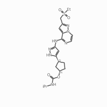 CCS(=O)(=O)Cc1cc2c(Nc3cc([C@H]4CC[C@@H](OC(=O)NC(C)C)C4)[nH]n3)nccn2n1